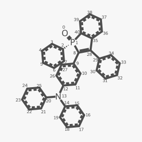 O=[P@]1(c2ccccc2)C(c2ccc(N(c3ccccc3)c3ccccc3)cc2)=C(c2ccccc2)c2ccccc21